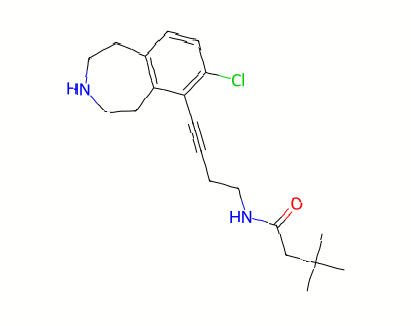 CC(C)(C)CC(=O)NCCC#Cc1c(Cl)ccc2c1CCNCC2